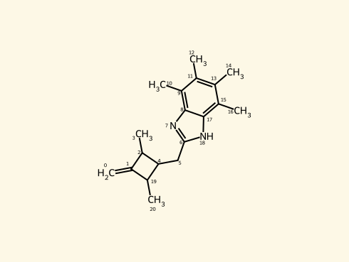 C=C1C(C)C(Cc2nc3c(C)c(C)c(C)c(C)c3[nH]2)C1C